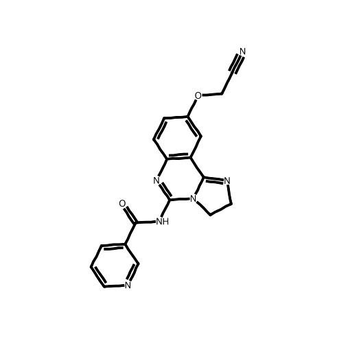 N#CCOc1ccc2c(c1)C1=NCCN1C(NC(=O)c1cccnc1)=N2